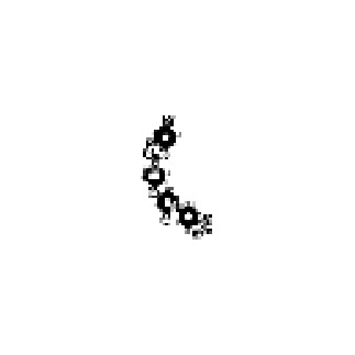 CS(=O)(=O)c1ccc(-n2ccc(OC3CCN(C(=O)Oc4ccc(Br)cc4F)CC3)cc2=O)cc1